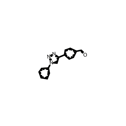 O=Cc1ccc(-c2cn(-c3ccccc3)nn2)cc1